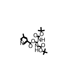 Cc1cncc(C(=O)OC(NC(=O)OC(C)(C)C)NC(=O)OC(C)(C)C)c1